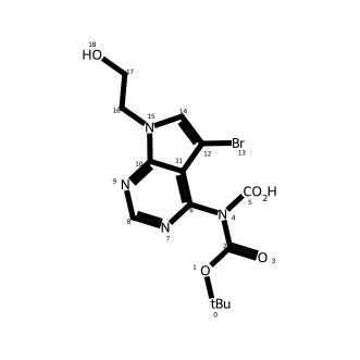 CC(C)(C)OC(=O)N(C(=O)O)c1ncnc2c1c(Br)cn2CCO